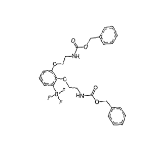 O=C(NCCOc1cccc([B-](F)(F)F)c1OCCNC(=O)OCc1ccccc1)OCc1ccccc1